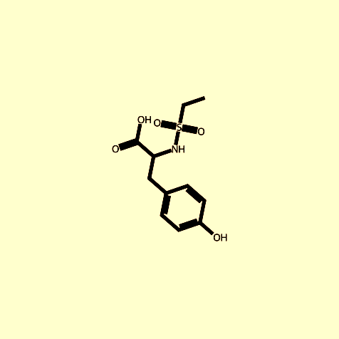 CCS(=O)(=O)NC(Cc1ccc(O)cc1)C(=O)O